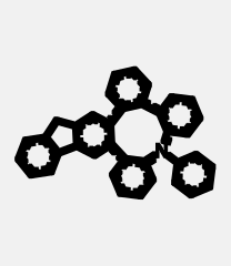 c1ccc(-n2c3ccccc3c3ccccc3c3cc4c(cc3c3ccccc32)-c2ccccc2C4)cc1